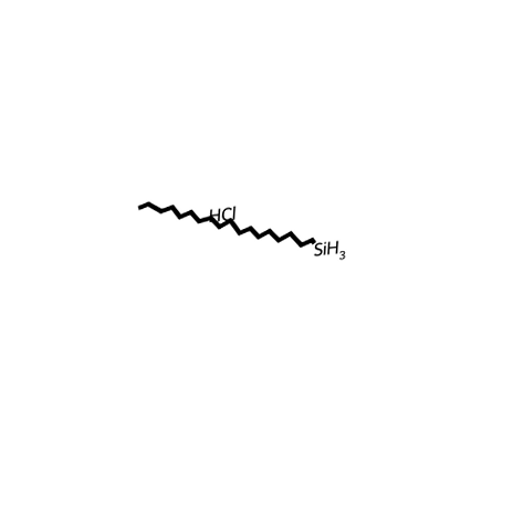 CCCCCCCCCCCCCCCCCC[SiH3].Cl